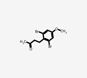 COc1cc(Br)c(CCC(C)=O)c(Br)c1